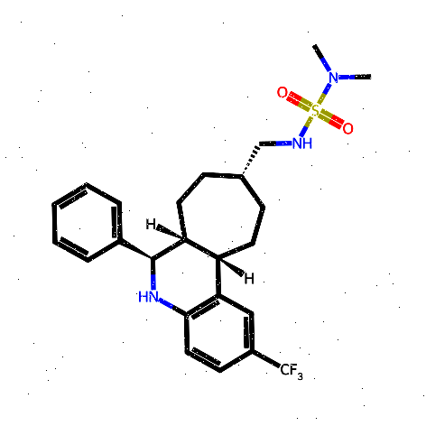 CN(C)S(=O)(=O)NC[C@H]1CC[C@@H]2[C@H](CC1)c1cc(C(F)(F)F)ccc1N[C@H]2c1ccccc1